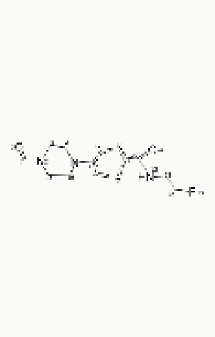 O=CN1CCN(c2ccc(C(=O)NCCF)cc2)CC1